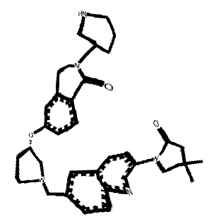 CC1(C)CC(=O)N(c2ccc3cc(CN4CC[C@H](Oc5ccc6c(c5)CN(C5CCCNC5)C6=O)C4)ccc3n2)C1